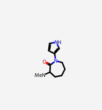 CNC1CCCCN(c2cc[nH]c2)C1=O